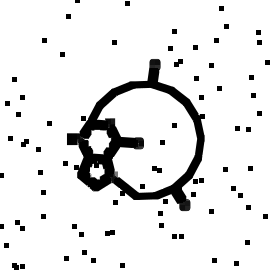 O=C1CCCCCCC(=O)CCn2ccc3[nH]c(nc(=O)c32)CCC1